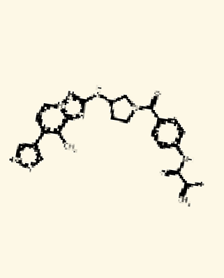 C=C(F)C(=O)Nc1ccc(C(=O)N2CCC(Nc3nc4c(C)c(-c5cn[nH]c5)ccn4n3)C2)cc1